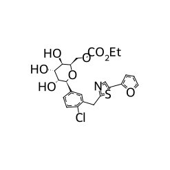 CCOC(=O)OC[C@H]1O[C@@H](c2ccc(Cl)c(Cc3ncc(-c4ccco4)s3)c2)[C@H](O)[C@H](O)[C@H]1O